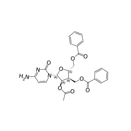 CC(=O)O[C@@H]1[C@H](COC(=O)c2ccccc2)[C@@H](COC(=O)c2ccccc2)O[C@H]1n1ccc(N)nc1=O